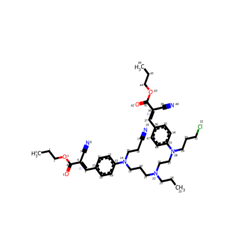 CCCOC(=O)/C(C#N)=C/c1ccc(N(CCC#N)CCCN(CCC)CCN(CCCCl)c2ccc(/C=C(\C#N)C(=O)OCCC)cc2)cc1